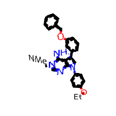 CCOc1ccc(-n2cc(-c3cccc(OCc4ccccc4)c3)c3c(N)ncnc32)cc1.CNC